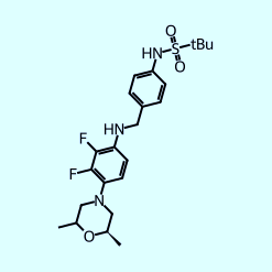 CC1CN(c2ccc(NCc3ccc(NS(=O)(=O)C(C)(C)C)cc3)c(F)c2F)C[C@@H](C)O1